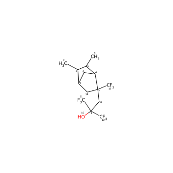 CC1C2CC(C1C)C(CC(O)(C(F)(F)F)C(F)(F)F)(C(F)(F)F)C2